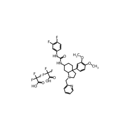 COc1ccc(C23CCC(NC(=O)Nc4ccc(F)c(F)c4)CC2N(Cc2ccccn2)CC3)cc1OC.O=C(O)C(F)(F)F.O=C(O)C(F)(F)F